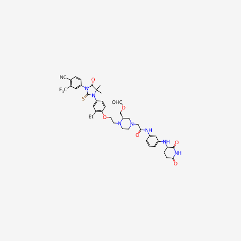 CCc1cc(N2C(=S)N(c3ccc(C#N)c(C(F)(F)F)c3)C(=O)C2(C)C)ccc1OCCN1CCN(CC(=O)Nc2cccc(NC3CCC(=O)NC3=O)c2)C[C@@H]1COC=O